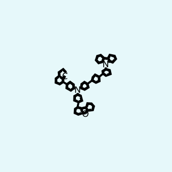 c1cc(-c2ccc(-c3ccc(N(c4ccc(-c5cccc6ccccc56)cc4)c4ccc(-c5cccc6oc7ccccc7c56)cc4)cc3)cc2)cc(-n2c3ccccc3c3ccccc32)c1